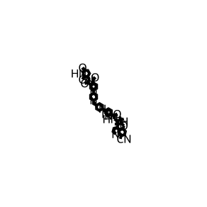 CC1(C)C(NC(=O)c2ccc(N3CCC(CN4CCN(c5ccc6c(c5)C(=O)N(C5CCC(=O)NC5=O)C6=O)CC4)CC3)nn2)C2(C)c3ccnc4c3=C(CCC=4C#N)O[C@@H]12